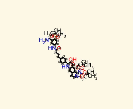 CC(C)(C)OC(=O)N(C(=O)OC(C)(C)C)c1nccc2cc(NC(C(=O)O)c3ccc(CCCC(=O)Nc4ccc(S(=O)(=O)C(C)(C)C)c(CN)c4)cc3)ccc12